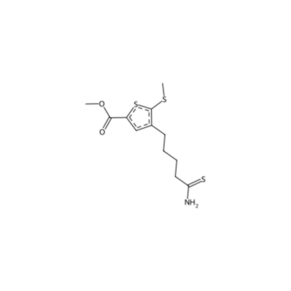 COC(=O)c1cc(CCCCC(N)=S)c(SC)s1